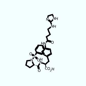 O=C(CCCNC1=NCCN1)Nc1ccc(C[C@H](NC(=O)[C@@H]2CCCN2S(=O)(=O)c2ccccc2)C(=O)O)cc1